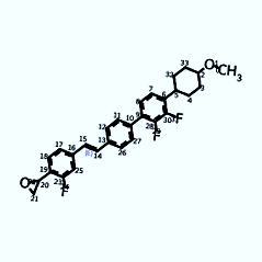 COC1CCC(c2ccc(-c3ccc(/C=C/c4ccc(C5CO5)c(F)c4)cc3)c(F)c2F)CC1